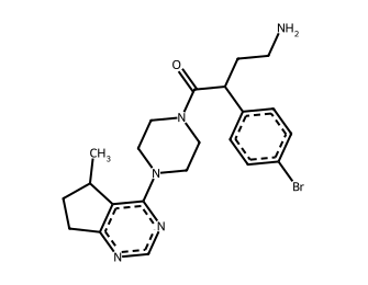 CC1CCc2ncnc(N3CCN(C(=O)C(CCN)c4ccc(Br)cc4)CC3)c21